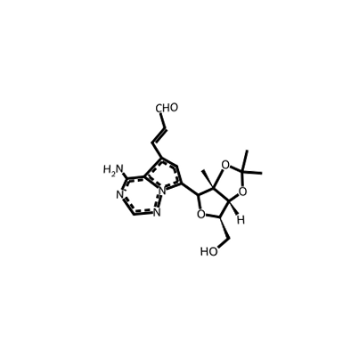 CC1(C)O[C@@H]2[C@@H](CO)OC(c3cc(/C=C/C=O)c4c(N)ncnn34)[C@]2(C)O1